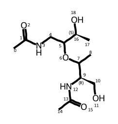 CC(=O)NCC(OC(C)[C@@H](CO)NC(C)=O)[C@H](C)O